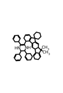 CC1(C)C2=CCCC=C2C2C=C3C(=CC21)C1(CCCCC1)C1=C3C(C2=C(C3C=CC=CC3)NC(C3C=CC=CC3)C(C3C=CCCC3)N2)CC=C1